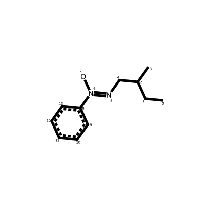 CCC(C)C/N=[N+](\[O-])c1ccccc1